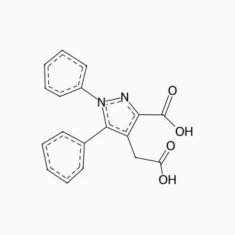 O=C(O)Cc1c(C(=O)O)nn(-c2ccccc2)c1-c1ccccc1